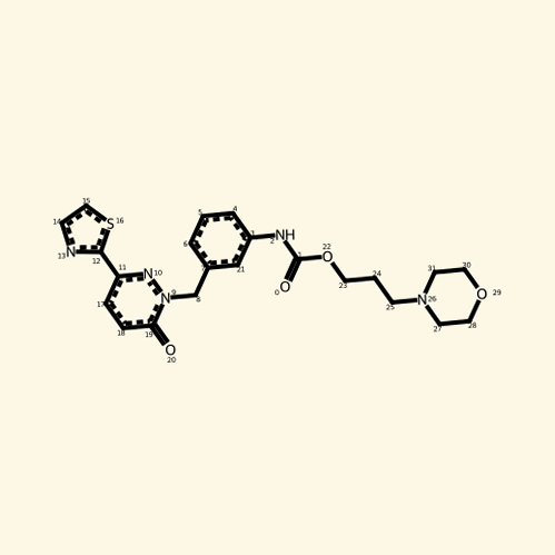 O=C(Nc1cccc(Cn2nc(-c3nccs3)ccc2=O)c1)OCCCN1CCOCC1